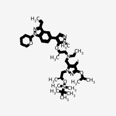 C=Cc1nn(C2CCCCO2)c2ccc(-c3cnn(C)c3O[C@@H](C)CN(CC)Cc3c(I)c(OC(C)C)nn3C[C@H](C)O[Si](C)(C)C(C)(C)C)cc12